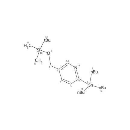 CCC[CH2][Sn]([CH2]CCC)([CH2]CCC)[c]1ccc(CO[Si](C)(C)C(C)(C)C)cn1